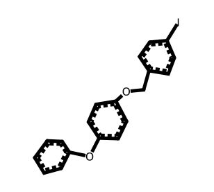 Ic1ccc(COc2ccc(Oc3ccccc3)cc2)cc1